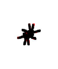 CCCCCCCCc1cc(CCCCCCCC)cc(C2(c3cc(CCCCCCCC)cc(CCCCCCCC)c3)c3ccsc3-c3sc4c5c(sc4c32)-c2sc3ccsc3c2C5(c2cc(CCCCCCCC)cc(CCCCCCCC)c2)c2cc(CCCCCCCC)cc(CCCCCCCC)c2)c1